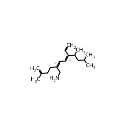 C=C/C(=C\C=C(/CN)CCC(=C)C)C(C)CC(C)C